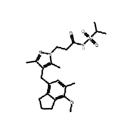 COc1c(C)cc(Cc2c(C)nn(CCC(=O)NS(=O)(=O)C(C)C)c2C)c2c1CCC2